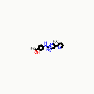 CC(C)C(O)c1ccc(Nc2nnc3cc(-c4ncccc4C(F)(F)F)cnn23)cc1